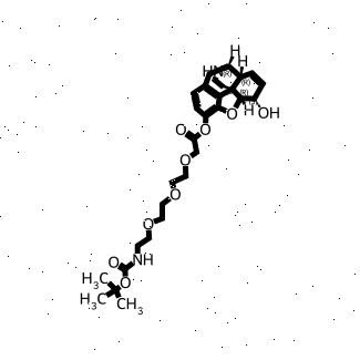 CC(C)(C)OC(=O)NCCOCCOCCOCC(=O)Oc1ccc2c3c1O[C@H]1[C@@H](O)C=C[C@H]4[C@@H](C2)NCC[C@@]341